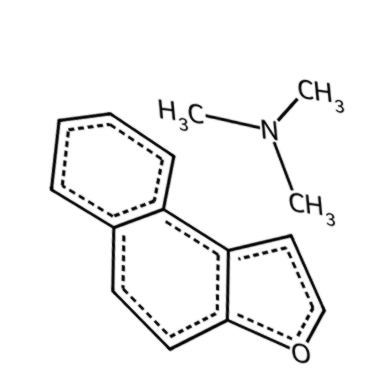 CN(C)C.c1ccc2c(c1)ccc1occc12